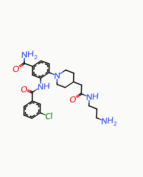 NCCCNC(=O)CC1CCN(c2ccc(C(N)=O)cc2NC(=O)c2cccc(Cl)c2)CC1